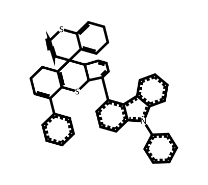 C1=CC2SC3=CCCC=C3C3(C4=C(SC5C(c6cccc7c6c6ccccc6n7-c6ccccc6)=CC=CC53)C(c3ccccc3)=CCC4)C2C=C1